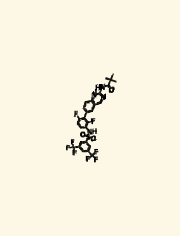 CC(C)(C)C(=O)Nc1ncc2cc(-c3c(F)ccc(NS(=O)(=O)c4cc(C(F)(F)F)cc(C(F)(F)F)c4)c3F)ccc2n1